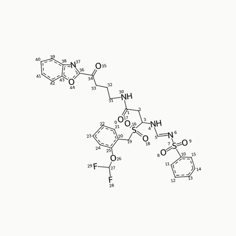 O=C(CC(NC=NS(=O)(=O)c1ccccc1)S(=O)(=O)Cc1ccccc1OC(F)F)NCCCC(=O)c1nc2ccccc2o1